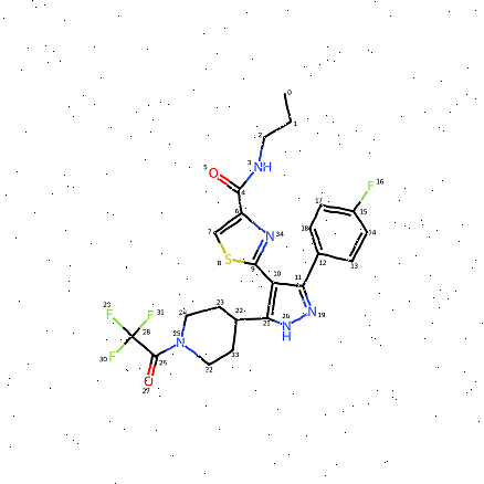 CCCNC(=O)c1csc(-c2c(-c3ccc(F)cc3)n[nH]c2C2CCN(C(=O)C(F)(F)F)CC2)n1